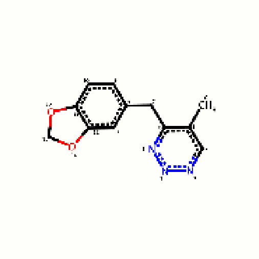 Cc1cnnnc1Cc1ccc2c(c1)OCO2